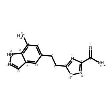 Cc1cc(C[CH]c2nc(C(N)=O)no2)cc2cn[nH]c12